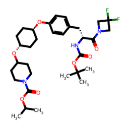 CC(C)OC(=O)N1CCC(O[C@H]2CC[C@H](Oc3ccc(C[C@@H](NC(=O)OC(C)(C)C)C(=O)N4CC(F)(F)C4)cc3)CC2)CC1